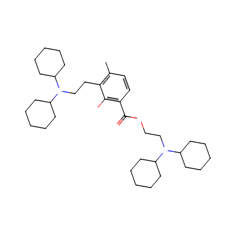 O=C(OCCN(C1CCCCC1)C1CCCCC1)c1ccc(C(=O)O)c(CCN(C2CCCCC2)C2CCCCC2)c1O